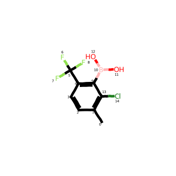 Cc1ccc(C(F)(F)F)c(B(O)O)c1Cl